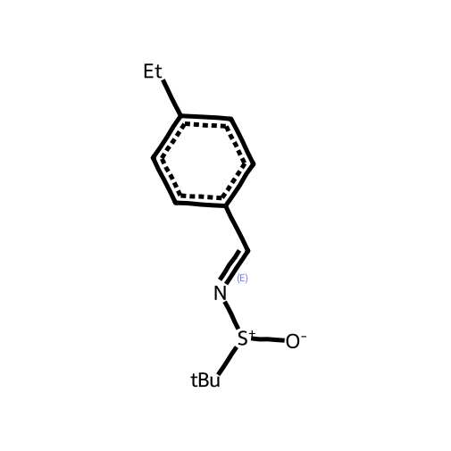 CCc1ccc(/C=N/[S+]([O-])C(C)(C)C)cc1